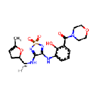 CC[C@@H](NC1=NS(=O)(=O)N=C1Nc1cccc(C(=O)N2CCOCC2)c1O)C1CC=C(C)O1